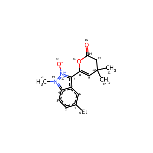 CCc1ccc2c(c1)c(C1=CC(C)(C)CC(=O)O1)[n+]([O-])n2C